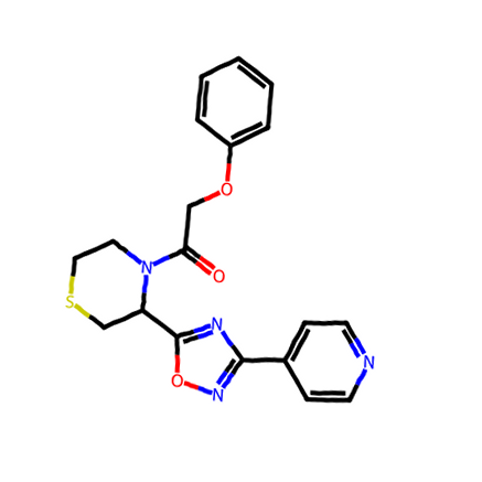 O=C(COc1ccccc1)N1CCSCC1c1nc(-c2ccncc2)no1